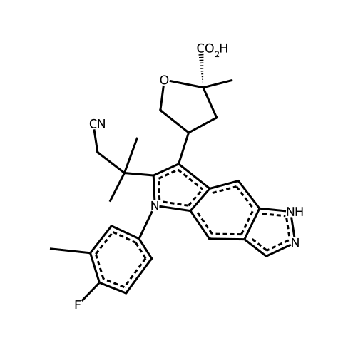 Cc1cc(-n2c(C(C)(C)CC#N)c(C3CO[C@](C)(C(=O)O)C3)c3cc4[nH]ncc4cc32)ccc1F